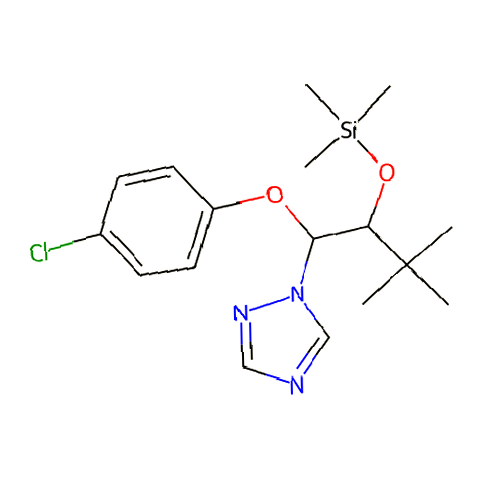 CC(C)(C)C(O[Si](C)(C)C)C(Oc1ccc(Cl)cc1)n1cncn1